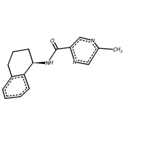 Cc1cnc(C(=O)N[C@@H]2CCCc3ccccc32)cn1